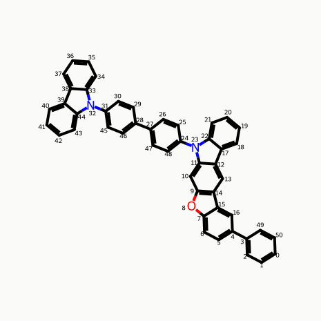 c1ccc(-c2ccc3oc4cc5c(cc4c3c2)c2ccccc2n5-c2ccc(-c3ccc(-n4c5ccccc5c5ccccc54)cc3)cc2)cc1